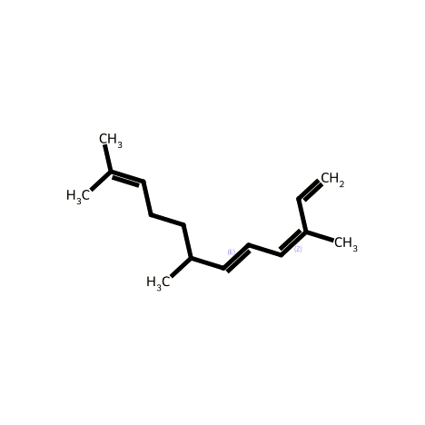 C=C/C(C)=C\C=C\C(C)CCC=C(C)C